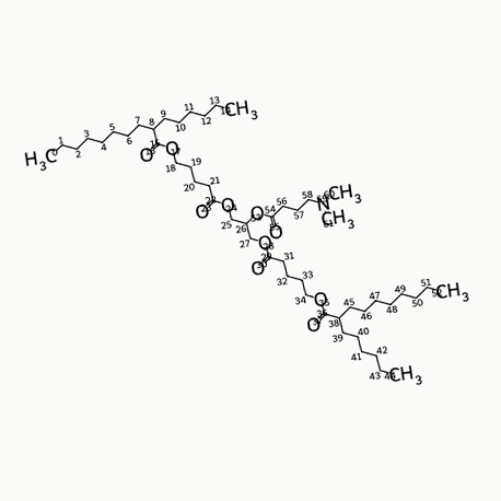 CCCCCCCCC(CCCCCC)C(=O)OCCCCC(=O)OCC(COC(=O)CCCCOC(=O)C(CCCCCC)CCCCCCCC)OC(=O)CCCN(C)C